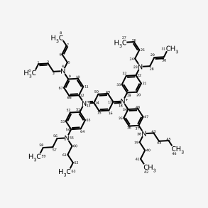 C/C=C\CN(C/C=C/C)c1ccc([N+](=C2C=CC(=[N+](c3ccc(N(C/C=C\C)C/C=C/C)cc3)c3ccc(N(CCCC)CCCC)cc3)C=C2)c2ccc(N(CCCC)CCCC)cc2)cc1